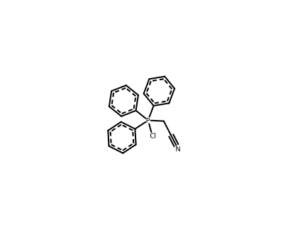 N#CCP(Cl)(c1ccccc1)(c1ccccc1)c1ccccc1